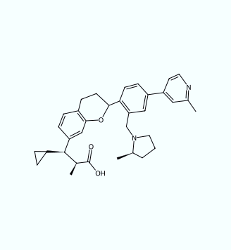 Cc1cc(-c2ccc(C3CCc4ccc([C@H](C5CC5)[C@H](C)C(=O)O)cc4O3)c(CN3CCC[C@H]3C)c2)ccn1